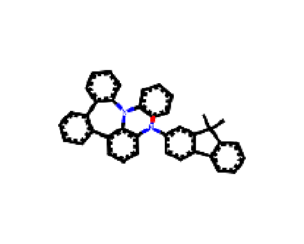 CN(c1ccc2c(c1)C(C)(C)c1ccccc1-2)c1cccc2c1N(c1ccccc1)c1ccccc1-c1ccccc1-2